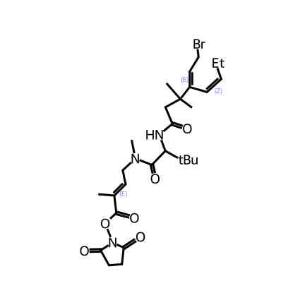 CC/C=C\C(=C/CBr)C(C)(C)CC(=O)NC(C(=O)N(C)C/C=C(\C)C(=O)ON1C(=O)CCC1=O)C(C)(C)C